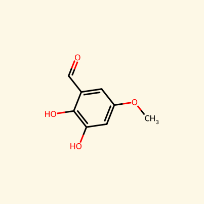 COc1cc(O)c(O)c(C=O)c1